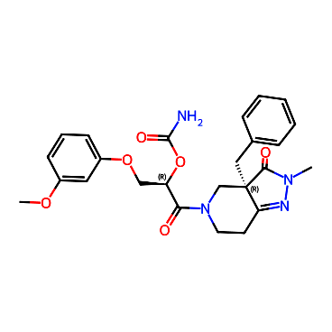 COc1cccc(OC[C@@H](OC(N)=O)C(=O)N2CCC3=NN(C)C(=O)[C@]3(Cc3ccccc3)C2)c1